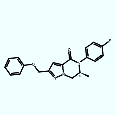 C[C@H]1Cn2nc(COc3ccccc3)cc2C(=O)N1c1ccc(F)cc1